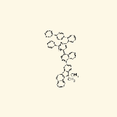 CC1(C)c2ccc(-c3ccc(-c4cc(-c5ccccc5-c5ccc(-c6ccccc6)cc5)nc(-c5ccccc5)n4)c4ccccc34)cc2-c2ccc3ccccc3c21